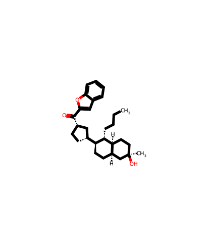 CCCC[C@H]1[C@H]([C@@H]2CC[C@H](C(=O)c3cc4ccccc4o3)C2)CC[C@@H]2C[C@](C)(O)CC[C@@H]21